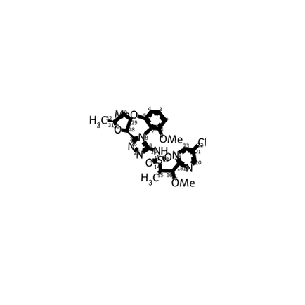 COc1cccc(OC)c1-n1c(NS(=O)(=O)C(C)C(OC)c2ncc(Cl)cn2)nnc1[C@@H]1CC[C@H](C)O1